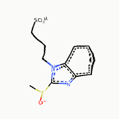 C[S+]([O-])c1nc2ccccc2n1CCCS(=O)(=O)O